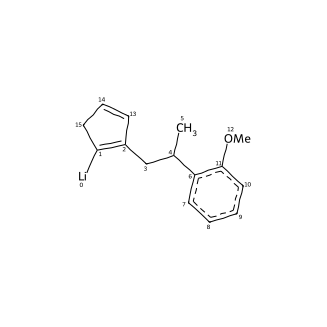 [Li][C]1=C(CC(C)c2ccccc2OC)C=CC1